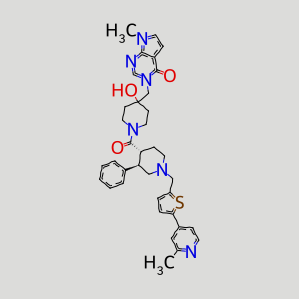 Cc1cc(-c2ccc(CN3CC[C@@H](C(=O)N4CCC(O)(Cn5cnc6c(ccn6C)c5=O)CC4)[C@H](c4ccccc4)C3)s2)ccn1